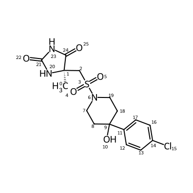 C[C@]1(CS(=O)(=O)N2CCC(O)(c3ccc(Cl)cc3)CC2)NC(=O)NC1=O